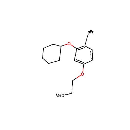 [CH2]CCc1ccc(OCCOC)cc1OC1CCCCC1